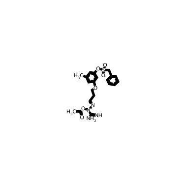 CC(=O)ON(N=CCCOc1cc(C)cc(OS(=O)(=O)Cc2ccccc2)c1)C(=N)N